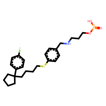 O=[PH](O)OCCCNCc1ccc(SCCCCC2(c3ccc(F)cc3)CCCC2)cc1